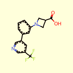 O=C(O)C1CN(c2cccc(-c3cncc(C(F)(F)F)c3)c2)C1